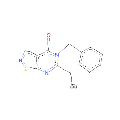 CCC(C)Cc1nc2sncc2c(=O)n1Cc1ccccc1